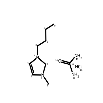 CCCCN1C=CN(C)C1.Cl.NC(N)=O